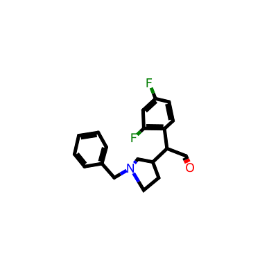 O=CC(c1ccc(F)cc1F)C1CCN(Cc2ccccc2)C1